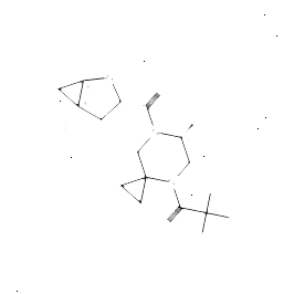 C[C@H]1CN(C(=O)C(F)(F)F)C2(CC2)CN1C(=O)[C@@H]1C[C@H]2C[C@H]2N1